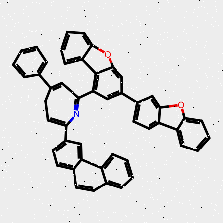 C1=C(c2ccccc2)CC=C(c2ccc3ccc4ccccc4c3c2)N=C1c1cc(-c2ccc3c(c2)oc2ccccc23)cc2oc3ccccc3c12